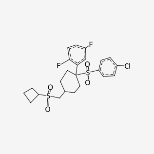 O=S(=O)(CC1CCC(c2cc(F)ccc2F)(S(=O)(=O)c2ccc(Cl)cc2)CC1)C1CCC1